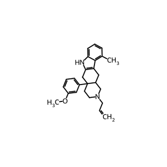 C=CCN1CCC2(c3cccc(OC)c3)Cc3[nH]c4cccc(C)c4c3CC2C1